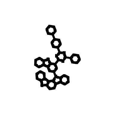 c1ccc(-c2ccc(-c3nc(-c4ccccc4)nc(-c4cc(-n5c6ccccc6c6ccc7oc8ccccc8c7c65)cc5c4oc4ccccc45)n3)cc2)cc1